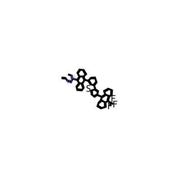 C=C/C=C\C(=C/C)c1c2ccccc2c(-c2cccc3c2sc2ccc(-c4c5ccccc5c(C(F)(F)F)c5ccccc45)cc23)c2ccccc12